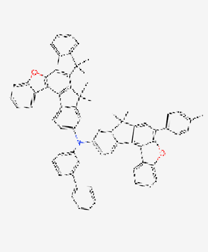 Cc1ccc(-c2cc3c(c4c2oc2ccccc24)-c2ccc(N(c4cccc(-c5ccccc5)c4)c4ccc5c(c4)C(C)(C)c4c6c(c7oc8ccccc8c7c4-5)-c4ccccc4C6(C)C)cc2C3(C)C)cc1